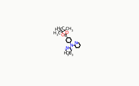 C/C=N\C(=C/C)N(c1ccc(B2OC(C)(C)C(C)(C)O2)cc1)c1ccccn1